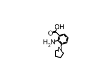 Nc1c(C(=O)O)cccc1N1CCCC1